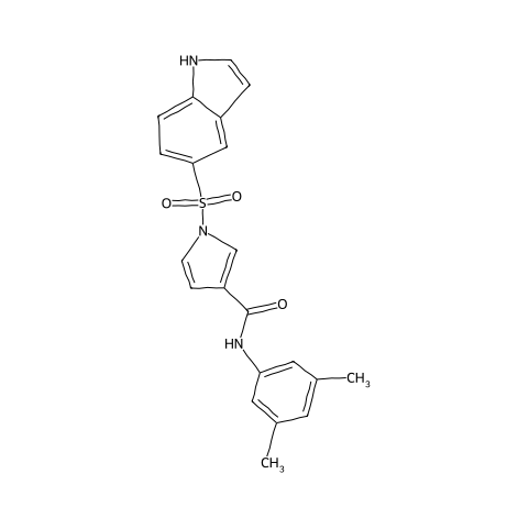 Cc1cc(C)cc(NC(=O)c2ccn(S(=O)(=O)c3ccc4[nH]ccc4c3)c2)c1